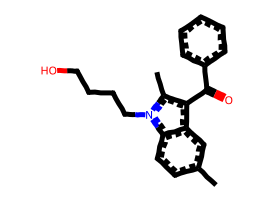 Cc1ccc2c(c1)c(C(=O)c1ccccc1)c(C)n2CCCCO